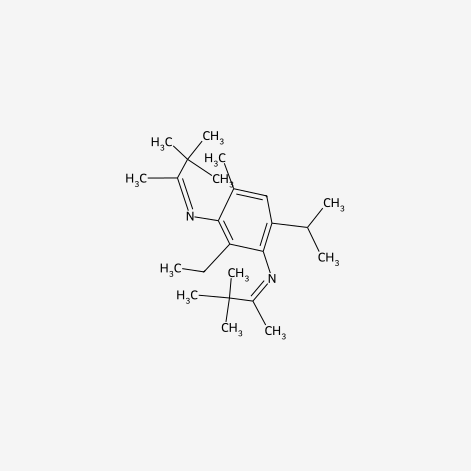 CCc1c(N=C(C)C(C)(C)C)c(C)cc(C(C)C)c1N=C(C)C(C)(C)C